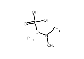 CN(C)OP(=O)(O)O.P